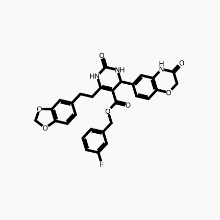 O=C1COc2ccc(C3NC(=O)NC(CCc4ccc5c(c4)OCO5)=C3C(=O)OCc3cccc(F)c3)cc2N1